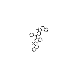 CC1(C)c2cc(N(c3ccccc3)c3cc4c(c5ccccc35)-c3ccc5ccccc5c3C4(C)C)ccc2-c2c1ccc1ccccc21